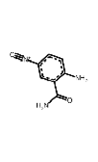 [C-]#[N+]c1ccc(N)c(C(N)=O)c1